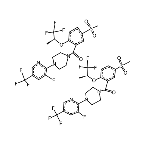 C[C@H](Oc1ccc(S(C)(=O)=O)cc1C(=O)N1CCN(c2ncc(C(F)(F)F)cc2F)CC1)C(F)(F)F.C[C@H](Oc1ccc(S(C)(=O)=O)cc1C(=O)N1CCN(c2ncc(C(F)(F)F)cc2F)CC1)C(F)(F)F